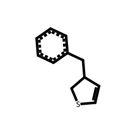 C1=CC(Cc2ccccc2)CS1